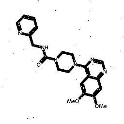 COc1cc2ncnc(N3CCN(C(=O)NCc4ccccn4)CC3)c2cc1OC